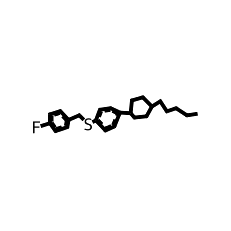 CCCCCC1CCC(c2ccc(SCc3ccc(F)cc3)cc2)CC1